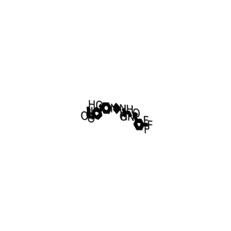 Cn1c(=O)oc2ccc(C3(O)CCC(N4CC(NC(=O)CNC(=O)c5cccc(C(F)(F)F)c5)C4)CC3)cc21